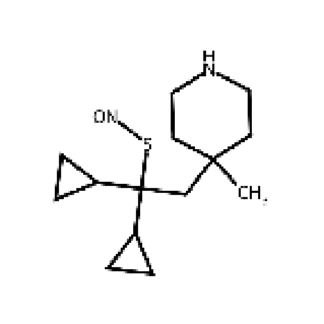 CC1(CC(SN=O)(C2CC2)C2CC2)CCNCC1